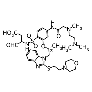 C[C@H](Cn1c(SCCN2CCOCC2)nc2ccccc21)Oc1cc(NC(=O)CN(C)CCN(C)C)ccc1S(=O)(=O)NC(C=O)CC(=O)O